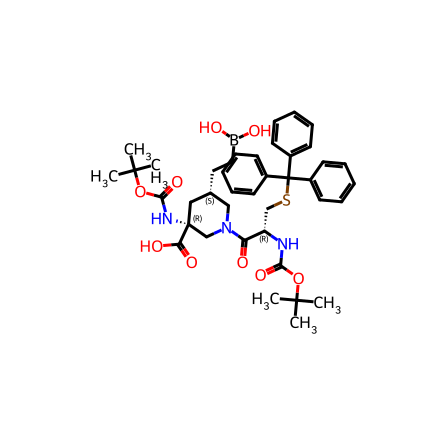 CC(C)(C)OC(=O)N[C@@H](CSC(c1ccccc1)(c1ccccc1)c1ccccc1)C(=O)N1C[C@@H](CCB(O)O)C[C@](NC(=O)OC(C)(C)C)(C(=O)O)C1